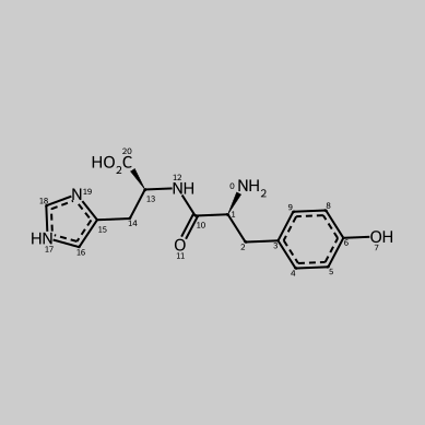 N[C@@H](Cc1ccc(O)cc1)C(=O)N[C@@H](Cc1c[nH]cn1)C(=O)O